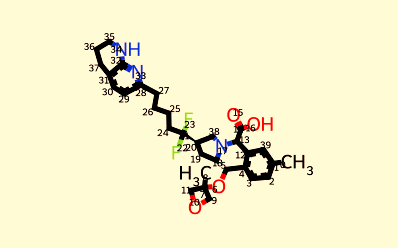 Cc1ccc(COC2(C)COC2)c(C(C(=O)O)N2CC[C@@H](C(F)(F)CCCCc3ccc4c(n3)NCCC4)C2)c1